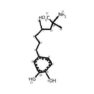 CC(CCCc1ccc(O)c(O)c1)CC(C)(N)C(=O)O